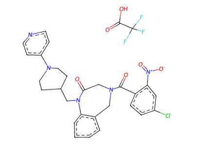 O=C(O)C(F)(F)F.O=C(c1ccc(Cl)cc1[N+](=O)[O-])N1CC(=O)N(CC2CCN(c3ccncc3)CC2)c2ccccc2C1